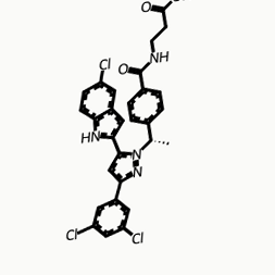 C[C@@H](c1ccc(C(=O)NCCC(=O)O)cc1)n1nc(-c2cc(Cl)cc(Cl)c2)cc1-c1cc2cc(Cl)ccc2[nH]1